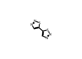 [c]1nnsc1-c1cnns1